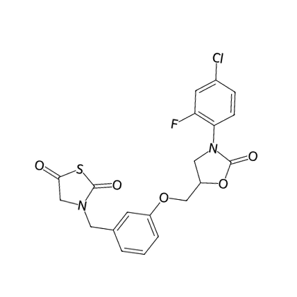 O=C1CN(Cc2cccc(OCC3CN(c4ccc(Cl)cc4F)C(=O)O3)c2)C(=O)S1